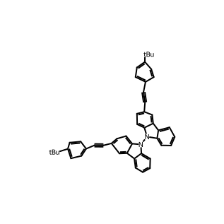 CC(C)(C)c1ccc(C#Cc2ccc3c(c2)c2ccccc2n3-n2c3ccccc3c3cc(C#Cc4ccc(C(C)(C)C)cc4)ccc32)cc1